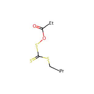 CCC(=O)OSC(=S)SCC(C)C